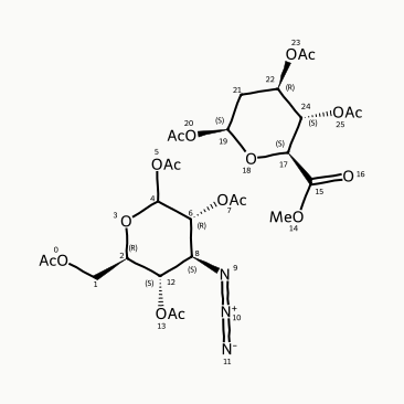 CC(=O)OC[C@H]1OC(OC(C)=O)[C@H](OC(C)=O)[C@@H](N=[N+]=[N-])[C@@H]1OC(C)=O.COC(=O)[C@H]1O[C@@H](OC(C)=O)C[C@@H](OC(C)=O)[C@@H]1OC(C)=O